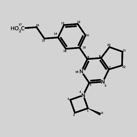 C[C@H]1CCN1c1nc2c(c(-c3cccc(CCC(=O)O)c3)n1)CCC2